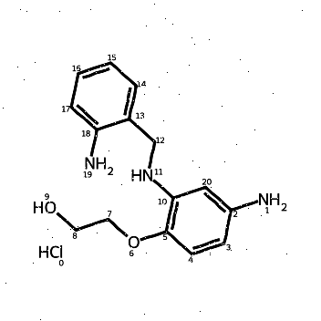 Cl.Nc1ccc(OCCO)c(NCc2ccccc2N)c1